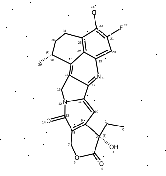 CC[C@@]1(O)C(=O)OCc2c1cc1n(c2=O)Cc2c-1nc1cc(F)c(Cl)c3c1c2[C@H](C)CC3